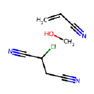 C=CC#N.CO.N#CCC(Cl)C#N